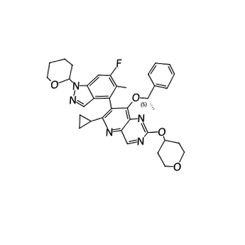 Cc1c(F)cc2c(cnn2C2CCCCO2)c1-c1c(C2CC2)nc2cnc(OC3CCOCC3)nc2c1O[C@@H](C)c1ccccc1